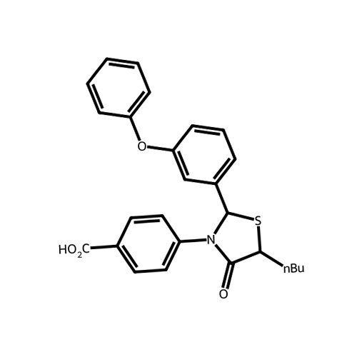 CCCCC1SC(c2cccc(Oc3ccccc3)c2)N(c2ccc(C(=O)O)cc2)C1=O